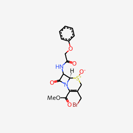 COC(=O)C1=C(CBr)C[S+]([O-])[C@@H]2C(NC(=O)COc3ccccc3)C(=O)N12